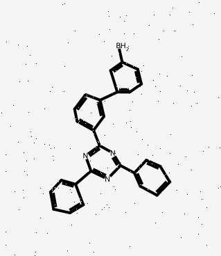 Bc1cccc(-c2cccc(-c3nc(-c4ccccc4)nc(-c4ccccc4)n3)c2)c1